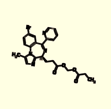 CCC(=O)OCOC(=O)CC[C@@H]1N=C(c2ccccn2)c2cc(Br)ccc2-n2c(C)cnc21